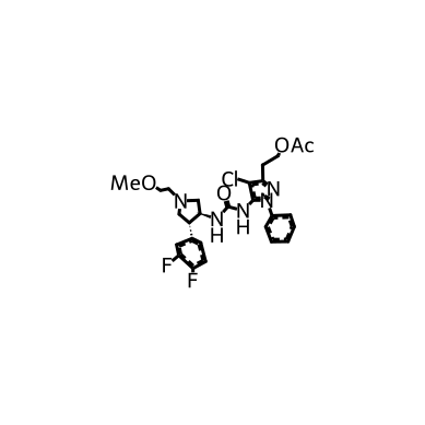 COCCN1C[C@@H](NC(=O)Nc2c(Cl)c(CCOC(C)=O)nn2-c2ccccc2)[C@H](c2ccc(F)c(F)c2)C1